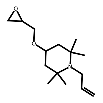 C=CCN1C(C)(C)CC(OCC2CO2)CC1(C)C